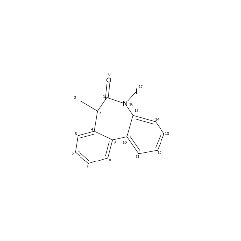 O=C1C(I)c2ccccc2-c2ccccc2N1I